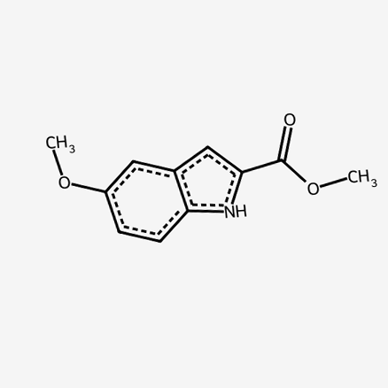 COC(=O)c1cc2cc(OC)ccc2[nH]1